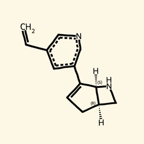 C=Cc1cncc(C2=CC[C@@H]3CN[C@H]23)c1